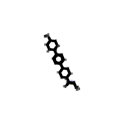 CCCC1COC(c2ccc(C3CCC(/C(F)=C/C(F)(F)F)CC3)cc2)OC1